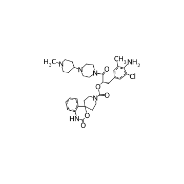 Cc1cc(C[C@@H](OC(=O)N2CCC3(CC2)OC(=O)Nc2ccccc23)C(=O)N2CCN(C3CCN(C)CC3)CC2)cc(Cl)c1N